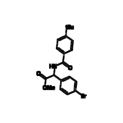 COC(=O)C(NC(=O)c1ccc(C(C)(C)C)cc1)c1ccc(Br)cc1